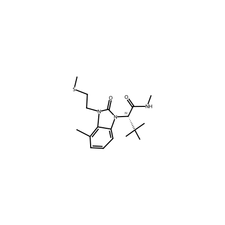 CNC(=O)[C@@H](n1c(=O)n(CCSC)c2c(C)cccc21)C(C)(C)C